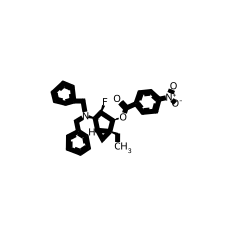 CC[C@@]12C[C@@H]1[C@@H](N(Cc1ccccc1)Cc1ccccc1)[C@@H](F)[C@@H]2OC(=O)c1ccc([N+](=O)[O-])cc1